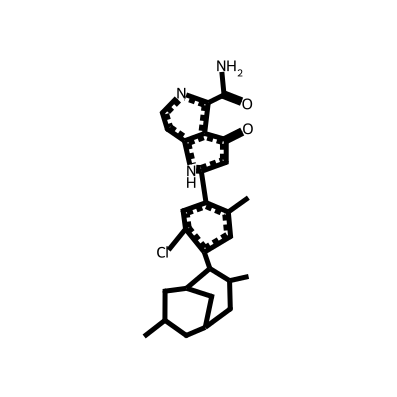 Cc1cc(C2C(C)CC3CC(C)CC2C3)c(Cl)cc1-c1cc(=O)c2c(C(N)=O)nccc2[nH]1